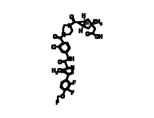 Cn1c(-c2ccc(OCF)c(F)c2F)cnc1C(=O)Nc1ccc(C(=O)N2CCN(C(=O)C3[C@H]4C[N+](C)(CC(=O)O)C[C@@H]34)CC2)c(Cl)c1